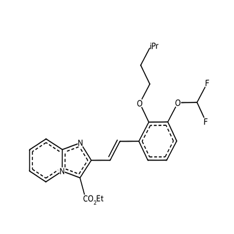 CCOC(=O)c1c(/C=C/c2cccc(OC(F)F)c2OCCC(C)C)nc2ccccn12